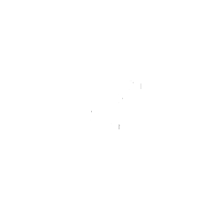 CC(C)(C)C1(OC(=O)OC2(C(C)(C)C)C=CC=CC2)C=CC=CC1